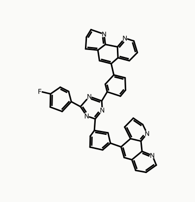 Fc1ccc(-c2nc(-c3cccc(-c4cc5cccnc5c5ncccc45)c3)nc(-c3cccc(-c4cc5cccnc5c5ncccc45)c3)n2)cc1